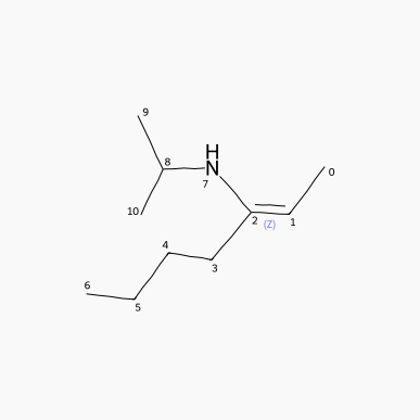 C/C=C(/CCCC)NC(C)C